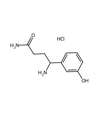 Cl.NC(=O)CCC(N)c1cccc(O)c1